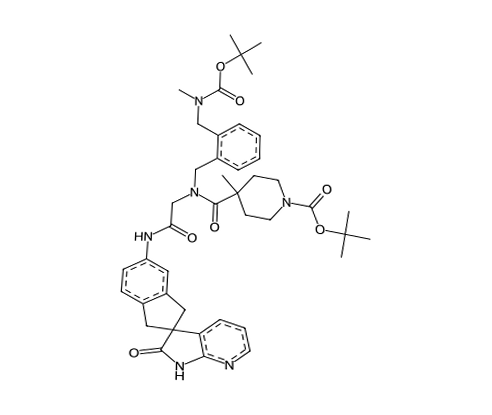 CN(Cc1ccccc1CN(CC(=O)Nc1ccc2c(c1)CC1(C2)C(=O)Nc2ncccc21)C(=O)C1(C)CCN(C(=O)OC(C)(C)C)CC1)C(=O)OC(C)(C)C